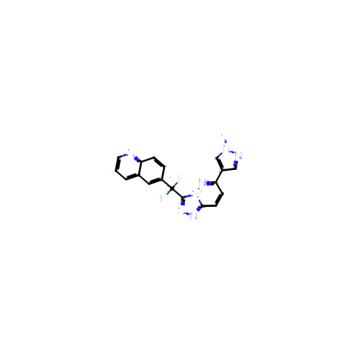 Cn1cc(-c2ccc3nnc(C(F)(F)c4ccc5ncccc5c4)n3n2)cn1